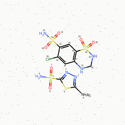 CC(=O)Nc1nnc(S(N)(=O)=O)s1.NS(=O)(=O)c1cc2c(cc1Cl)NCNS2(=O)=O